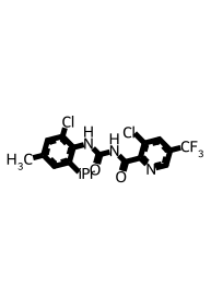 Cc1cc(Cl)c(NC(=O)NC(=O)c2ncc(C(F)(F)F)cc2Cl)c(C(C)C)c1